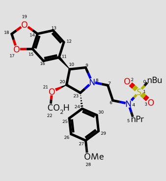 CCCCS(=O)(=O)N(CCC)CCN1C[C@H](c2ccc3c(c2)OCO3)[C@H](OC(=O)O)[C@H]1c1ccc(OC)cc1